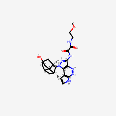 COCCNC(=O)C(=O)Nc1nn(C2[C@H]3CC4C[C@H]2CC(O)(C4)C3)c2c1nnc1[nH]ccc12